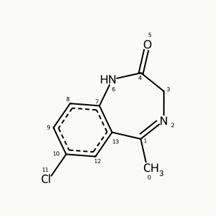 CC1=NCC(=O)Nc2ccc(Cl)cc21